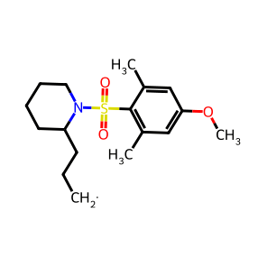 [CH2]CCC1CCCCN1S(=O)(=O)c1c(C)cc(OC)cc1C